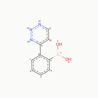 OB(O)c1ccccc1-c1ccnnn1